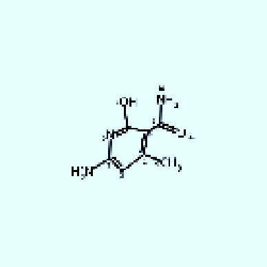 Cc1cc(N)nc(O)c1C(N)=O